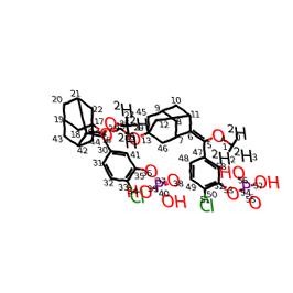 [2H]C([2H])([2H])OC(=C1C2CC3CC1CC(OCOC14CC5CC(C1)C(=C(OC([2H])([2H])[2H])c1ccc(Cl)c(OP(=O)(O)O)c1)C(C5)C4)(C3)C2)c1ccc(Cl)c(OP(=O)(O)O)c1